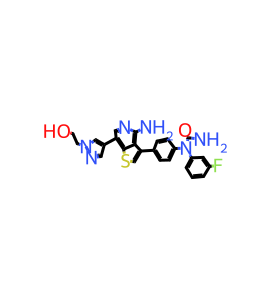 NC(=O)N(c1ccc(-c2csc3c(-c4cnn(CCO)c4)cnc(N)c23)cc1)c1cccc(F)c1